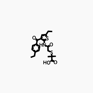 CCc1ccc(C(=O)c2cc(CC)sc2NC(=O)CSC(C)(C)C(=O)O)cc1